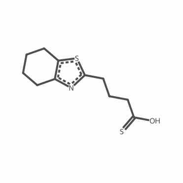 OC(=S)CCCc1nc2c(s1)CCCC2